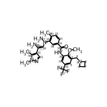 COc1c(CN2CCC2)cc(C(F)(F)F)cc1NC(=O)c1ccc(C)c(N(N)/C=C(\N)c2cnn(C)c2C)c1